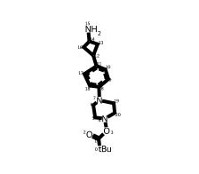 CC(C)(C)C(=O)ON1CCN(c2ccc(C3CC(N)C3)cc2)CC1